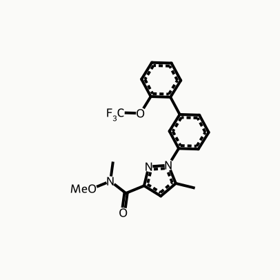 CON(C)C(=O)c1cc(C)n(-c2cccc(-c3ccccc3OC(F)(F)F)c2)n1